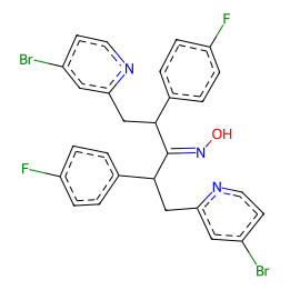 ON=C(C(Cc1cc(Br)ccn1)c1ccc(F)cc1)C(Cc1cc(Br)ccn1)c1ccc(F)cc1